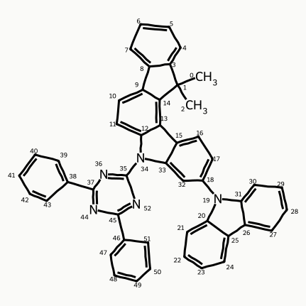 CC1(C)c2ccccc2-c2ccc3c(c21)c1ccc(-n2c4ccccc4c4ccccc42)cc1n3-c1nc(-c2ccccc2)nc(-c2ccccc2)n1